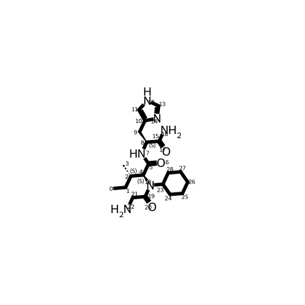 CC[C@H](C)[C@@H](C(=O)N[C@@H](Cc1c[nH]cn1)C(N)=O)N(C(=O)CN)C1CCCCC1